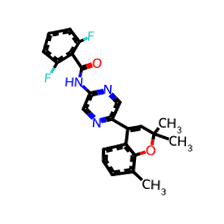 Cc1cccc2c1OC(C)(C)C=C2c1cnc(NC(=O)c2c(F)cccc2F)cn1